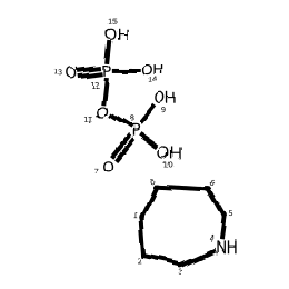 C1CCCNCC1.O=P(O)(O)OP(=O)(O)O